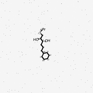 CC(C)SC[C@H](O)[C@H](O)CCCC1CCCCC1